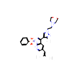 CC(C)=Cc1cnc2c(c1)c(-c1cn(CCN3CCOCC3)nc1C)cn2S(=O)(=O)c1ccccc1